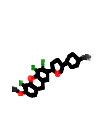 CCCC1CCC(C2CC=C(c3cc4c(c(F)c3F)Oc3c(ccc(OCC)c3F)C4)OC2)CC1